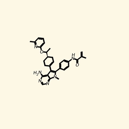 C=C(C)C(=O)Nc1ccc(-c2c(C3=CC[C@H](C(C)Oc4cccc(C)n4)CC3)c3c(N)ncnc3n2C)cc1